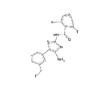 Nc1nc(NC(=O)c2c(F)cccc2F)sc1-c1cccc(CF)c1